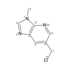 Cn1cnc2cc(CCl)cnc21